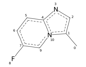 Cc1cnc2ccc(F)cn12